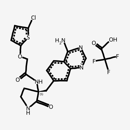 Nc1ncnc2cc(C[C@]3(NC(=O)COc4ccc(Cl)s4)CCNC3=O)ccc12.O=C(O)C(F)(F)F